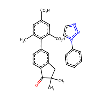 Cc1cc(C(=O)O)cc(C(=O)O)c1-c1ccc2c(c1)CC(C)(C)C2=O.c1ccc(-n2ccnn2)cc1